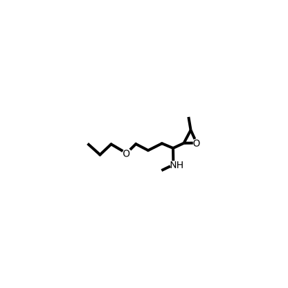 CCCOCCCC(NC)C1OC1C